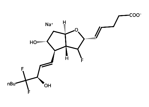 CCCCC(F)(F)[C@H](O)/C=C/[C@@H]1[C@H]2C(F)[C@@H](/C=C/CCC(=O)[O-])O[C@@H]2C[C@H]1O.[Na+]